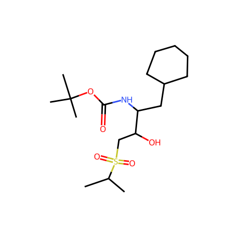 CC(C)S(=O)(=O)CC(O)C(CC1CCCCC1)NC(=O)OC(C)(C)C